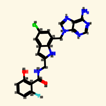 Nc1ncnc2c1ncn2Cc1cc(Cl)cc2cc(CNC(=O)c3c(O)cccc3F)[nH]c12